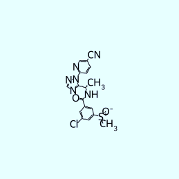 C[C@@H](NC(=O)c1cc(Cl)cc([S+](C)[O-])c1)c1ncnn1-c1ccc(C#N)cn1